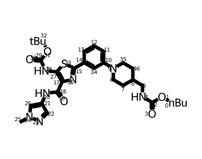 CCCCOC(=O)NCC1CCN(c2cccc(-c3nc(C(=O)Nc4cnn(C)c4)c(NC(=O)OC(C)(C)C)s3)c2)CC1